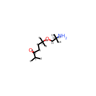 CC(C)C(=O)CCC(C)(C)OCC(C)(C)N